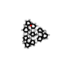 c1ccc(N(c2cc3c4c(c2)N(c2ccccc2)c2c(ccc5sc6ccccc6c25)B4c2ccc4sc5ccccc5c4c2N3c2ccccc2)c2cccc3oc4ccccc4c23)cc1